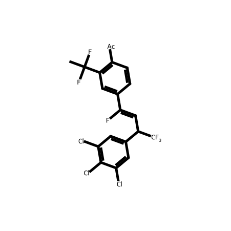 CC(=O)c1ccc(/C(F)=C/C(c2cc(Cl)c(Cl)c(Cl)c2)C(F)(F)F)cc1C(C)(F)F